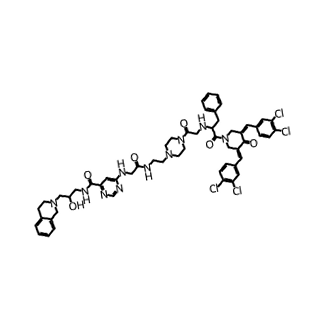 O=C(CNc1cc(C(=O)NCC(O)CN2CCc3ccccc3C2)ncn1)NCCN1CCN(C(=O)CNC(Cc2ccccc2)C(=O)N2CC(=Cc3ccc(Cl)c(Cl)c3)C(=O)C(=Cc3ccc(Cl)c(Cl)c3)C2)CC1